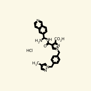 Cc1cnn(Cc2ccc(Cn3cc(C(=O)NC(N)c4ccc5cnccc5c4)c(C(=O)O)n3)cc2)c1.Cl